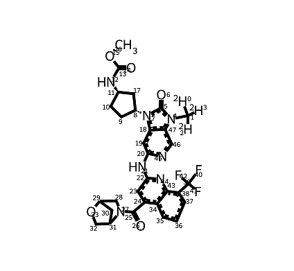 [2H]C([2H])([2H])n1c(=O)n([C@@H]2CC[C@@H](NC(=O)OC)C2)c2cc(Nc3cc(C(=O)N4CC5CC4CO5)c4cccc(C(F)(F)F)c4n3)ncc21